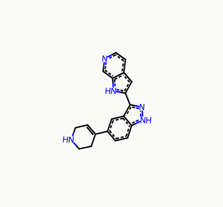 C1=C(c2ccc3[nH]nc(-c4cc5ccncc5[nH]4)c3c2)CCNC1